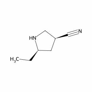 CC[C@@H]1C[C@H](C#N)CN1